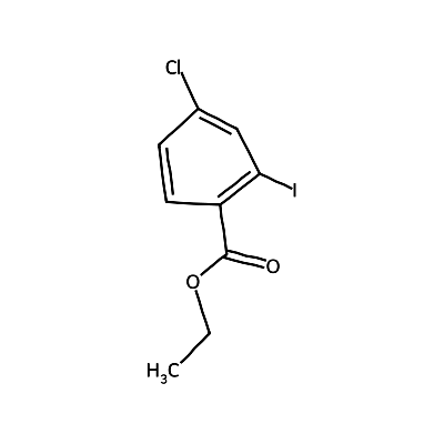 CCOC(=O)c1ccc(Cl)cc1I